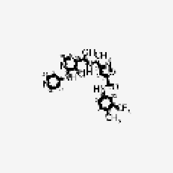 Cc1ccc(NC(=O)c2cc([C@@H](C)NC(O)c3ncnc(Nc4ccncc4)c3Cl)no2)cc1C(F)(F)F